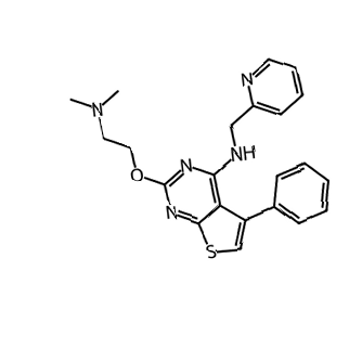 CN(C)CCOc1nc(NCc2ccccn2)c2c(-c3ccccc3)csc2n1